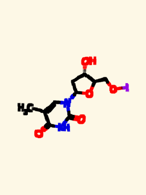 Cc1cn([C@H]2C[C@H](O)[C@@H](COI)O2)c(=O)[nH]c1=O